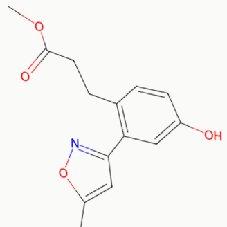 COC(=O)CCc1ccc(O)cc1-c1cc(C)on1